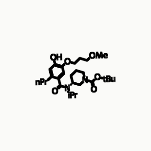 CCCc1cc(O)c(OCCCOC)cc1C(=O)N(C(C)C)[C@@H]1CCCN(C(=O)OC(C)(C)C)C1